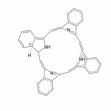 C1=CC2=C3C=C4N=C(C=c5[nH]c(c6ccccc56)=CC5=NC(=CC(N3)[C@H]2C=C1)c1ccccc15)c1ccccc14